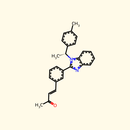 CC(=O)/C=C/c1cccc(-c2nc3ccccc3n2[C@H](C)c2ccc(C)cc2)c1